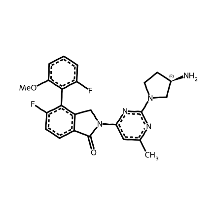 COc1cccc(F)c1-c1c(F)ccc2c1CN(c1cc(C)nc(N3CC[C@@H](N)C3)n1)C2=O